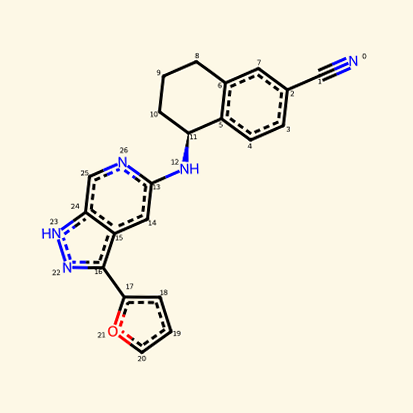 N#Cc1ccc2c(c1)CCC[C@@H]2Nc1cc2c(-c3ccco3)n[nH]c2cn1